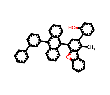 Cc1c(-c2ccccc2O)cc(-c2c3ccccc3c(-c3cccc(-c4ccccc4)c3)c3ccccc23)c2oc3ccccc3c12